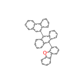 c1ccc2c(c1)cc(-c1c3ccccc3c(-c3cccc4c3oc3ccccc34)c3ccccc13)c1ccccc12